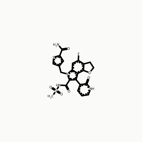 CS(=O)(=O)NC(=O)c1c(-c2ccc[nH]c2=O)c2c3c(c(F)cc2n1Cc1csc(C(N)=O)c1)CCO3